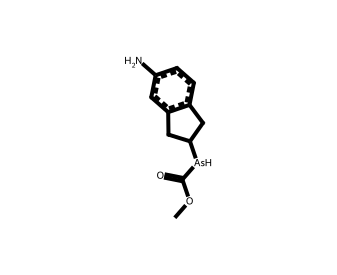 COC(=O)[AsH]C1Cc2ccc(N)cc2C1